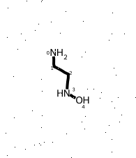 NCCNO